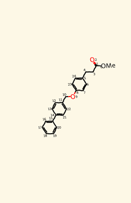 COC(=O)CCc1ccc(OCc2ccc(-c3ccccc3)cc2)cc1